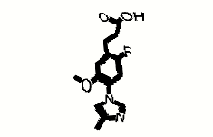 COc1cc(/C=C/C(=O)O)c(F)cc1-n1cnc(C)c1